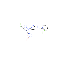 Cn1nc(-c2cc(C(F)F)nn2-c2ccc(NCc3c(F)cccc3F)cn2)oc1=O